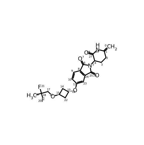 C=C1CCC(N2C(=O)c3ccc(O[C@H]4C[C@H](OCC(C)(F)F)C4)cc3C2=O)C(=O)N1